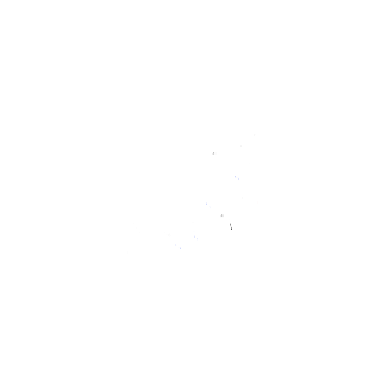 C[C@@H](Nc1nnc(-c2ccccc2)o1)C(=O)N1C[C@H](C(F)F)C2(CC2)C1